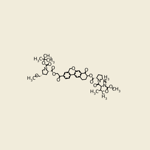 COC[C@H]1C[C@@H](C(=O)OCC(=O)c2ccc3c(c2)COc2cc4c(cc2-3)CCC(OC(=O)[C@@H]2CC[C@H](C)N2C(=O)[C@@H](NC(=O)OC)C(C)C)C4=O)N(C(=O)OC(C)(C)C)C1